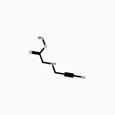 CC(=O)C#CCNCC(=O)OC(C)(C)C